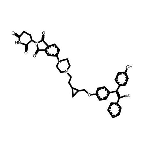 CCC(=C(c1ccc(O)cc1)c1ccc(OCC2CC2CCN2CCN(c3ccc4c(c3)C(=O)N(C3CCC(=O)NC3=O)C4=O)CC2)cc1)c1ccccc1